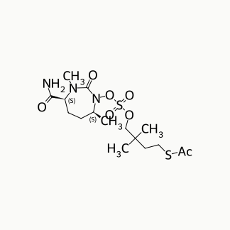 CC(=O)SCCC(C)(C)COS(=O)(=O)ON1C(=O)N(C)[C@H](C(N)=O)CC[C@@H]1C